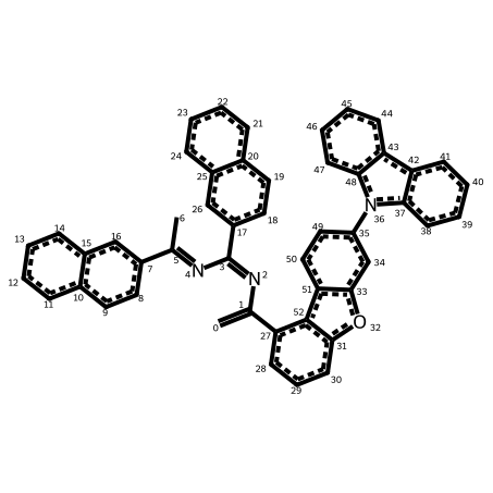 C=C(/N=C(\N=C(/C)c1ccc2ccccc2c1)c1ccc2ccccc2c1)c1cccc2oc3cc(-n4c5ccccc5c5ccccc54)ccc3c12